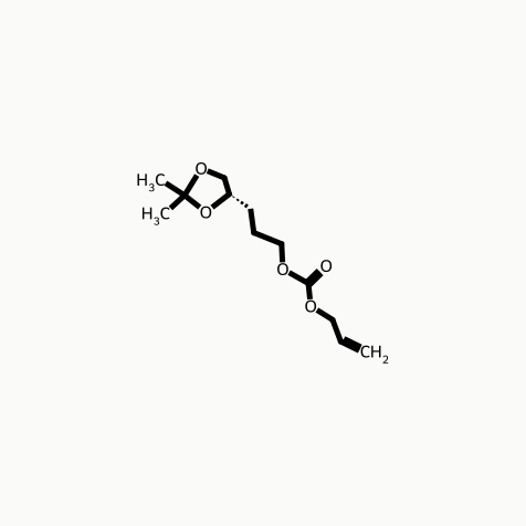 C=CCOC(=O)OCCC[C@H]1COC(C)(C)O1